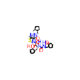 COc1ccccc1CNC(=O)NC(Cc1ccccc1)C(O)C(=O)N1CSC(C)(C)[C@H]1C(=O)NCc1ccccc1C